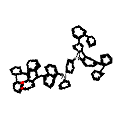 c1ccc(-c2ccccc2-c2ccc3c(c2)c2cc(-c4ccccc4-c4ccccc4)ccc2n3-c2ccc(N(c3ccccc3)c3cccc4c(-c5c6ccccc6c(-c6ccccc6-c6ccccc6)c6ccccc56)cccc34)cc2)cc1